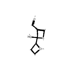 O=CC1COC1(O)C1CCO1